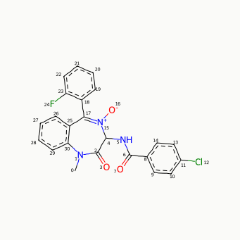 CN1C(=O)C(NC(=O)c2ccc(Cl)cc2)[N+]([O-])=C(c2ccccc2F)c2ccccc21